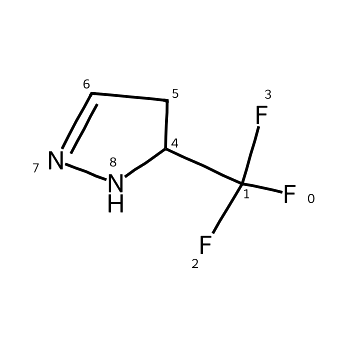 FC(F)(F)C1CC=NN1